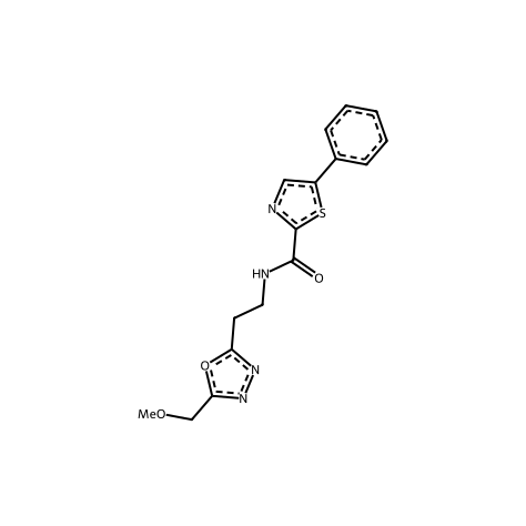 COCc1nnc(CCNC(=O)c2ncc(-c3ccccc3)s2)o1